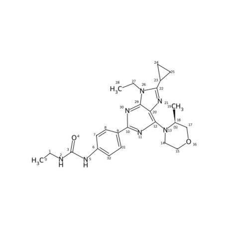 CCNC(=O)Nc1ccc(-c2nc(N3CCOC[C@@H]3C)c3nc(C4CC4)n(CC)c3n2)cc1